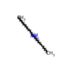 CCCCCCCCCCCCCCCCCCNCCCCCCCCCCCCCCCCCC.N